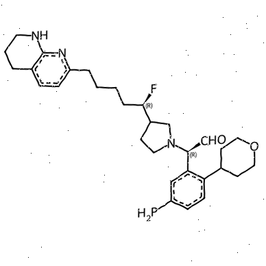 O=C[C@@H](c1cc(P)ccc1C1CCOCC1)N1CCC([C@H](F)CCCCc2ccc3c(n2)NCCC3)C1